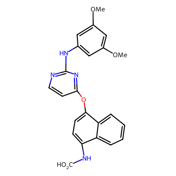 COc1cc(Nc2nccc(Oc3ccc(NC(=O)O)c4ccccc34)n2)cc(OC)c1